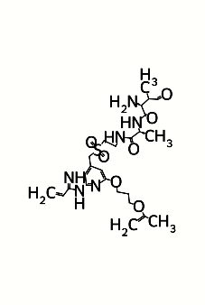 C=CC(=N)Nc1cc(CS(=O)(=O)CCNC(=O)[C@H](C)NC(=O)[C@@H](N)C(C)C=O)cc(OCCCOC(=C)C)n1